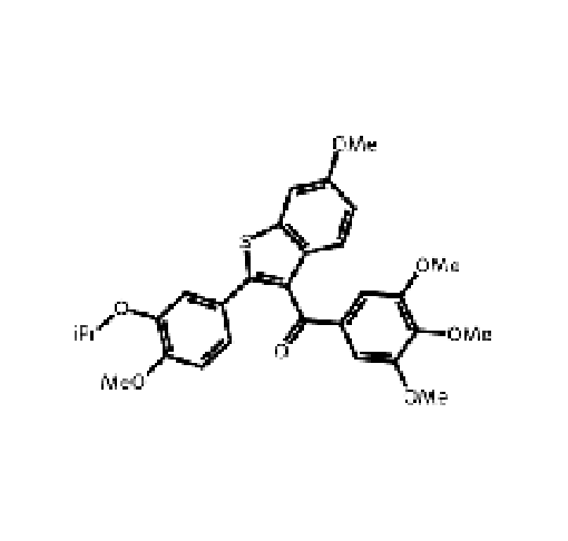 COc1ccc2c(C(=O)c3cc(OC)c(OC)c(OC)c3)c(-c3ccc(OC)c(OC(C)C)c3)sc2c1